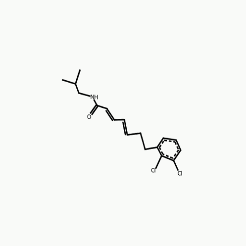 CC(C)CNC(=O)/C=C/C=CCCc1cccc(Cl)c1Cl